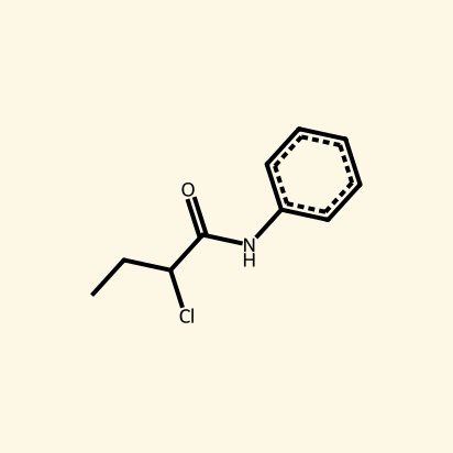 CCC(Cl)C(=O)Nc1ccccc1